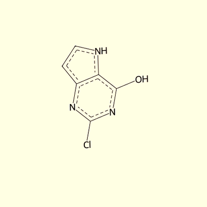 Oc1nc(Cl)nc2cc[nH]c12